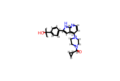 CC(C)(O)c1ccc(-c2cc3c(N4CCN(C(=O)C5CC5)CC4)ccnc3[nH]2)cc1